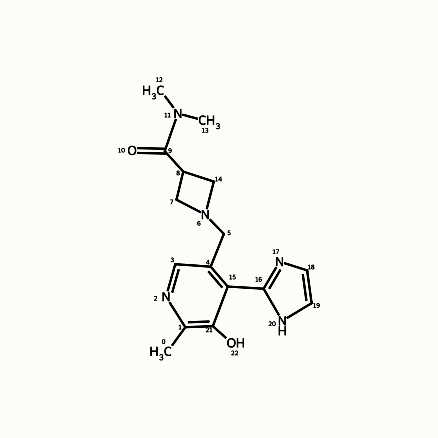 Cc1ncc(CN2CC(C(=O)N(C)C)C2)c(-c2ncc[nH]2)c1O